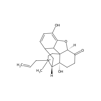 C=CC[N+]1(C)CCC23C4C5=C(O)C=CC4C[C@@H]1[C@]2(O)CCC(=O)[C@@H]3O5